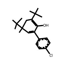 CC(C)(C)C1=C(O)C(c2ccc(Cl)cc2)=CC(C)(C(C)(C)C)C1